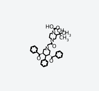 CC(C)(C)C1CN(C(=O)CN2C[C@H](C(=O)c3ccccc3)C(c3ccccc3)[C@@H](C(=O)c3ccccc3)C2)CCN1C(=O)O